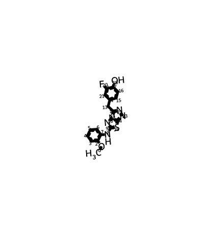 COc1ccccc1Nc1nn2c(Cc3ccc(O)c(F)c3)nnc2s1